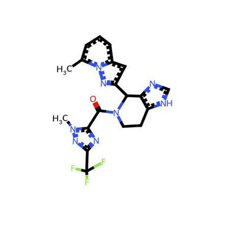 Cc1cccc2cc(C3c4nc[nH]c4CCN3C(=O)c3nc(C(F)(F)F)nn3C)nn12